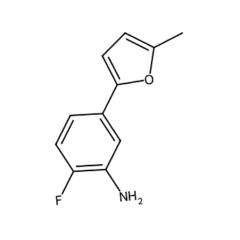 Cc1ccc(-c2ccc(F)c(N)c2)o1